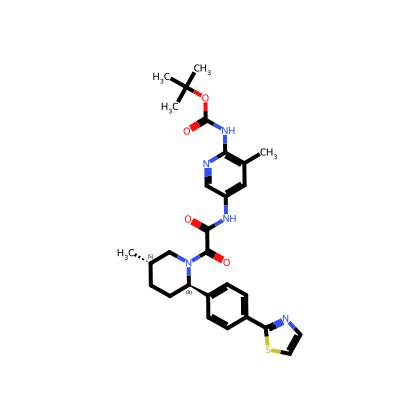 Cc1cc(NC(=O)C(=O)N2C[C@@H](C)CC[C@@H]2c2ccc(-c3nccs3)cc2)cnc1NC(=O)OC(C)(C)C